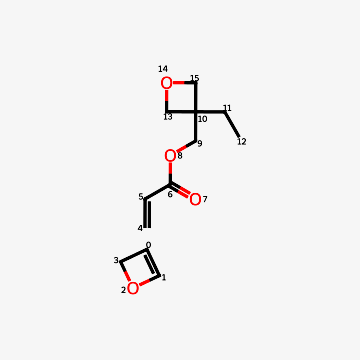 C1=COC1.C=CC(=O)OCC1(CC)COC1